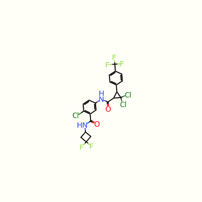 O=C(NC1CC(F)(F)C1)c1cc(NC(=O)C2C(c3ccc(C(F)(F)F)cc3)C2(Cl)Cl)ccc1Cl